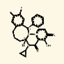 O=C1c2c(O)c(=O)ccn2N2[C@H](c3ccccc3)c3cc(F)c(F)cc3CCC[C@H]2N1C1CC1